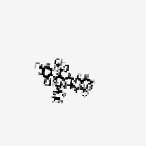 COC(=O)C1=C(CN2CCN3C(=O)OCCC3C2)NC(c2nccs2)=N[C@H]1c1ccc(F)cc1Cl